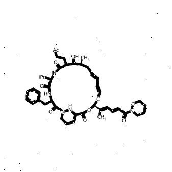 CC(=O)CCC1C(=O)NC(C(C)C)C(=O)NC(Cc2ccccc2)C(=O)N2CCCC(N2)C(=O)O[C@H](/C(C)=C/C=C/C(=O)N2CCCCO2)C/C=C/C=C/C[C@H](C)C1O